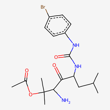 CC(=O)OC(C)(C)C(N)C(=O)C(CC(C)C)NC(=O)Nc1ccc(Br)cc1